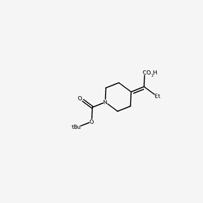 CCC(C(=O)O)=C1CCN(C(=O)OC(C)(C)C)CC1